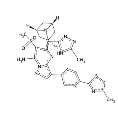 Cc1csc(-c2ccc(-c3cnn4c(N)c(S(C)(=O)=O)c([C@H]5C[C@@H]6C[C@H](C5)N6C(=O)c5nnc(C)[nH]5)nc34)cn2)n1